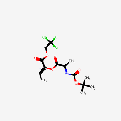 C/C=C(\OC(=O)C(C)NC(=O)OC(C)(C)C)C(=O)OCC(Cl)(Cl)Cl